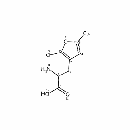 NC(Cc1cc(Cl)oc1Cl)C(=O)O